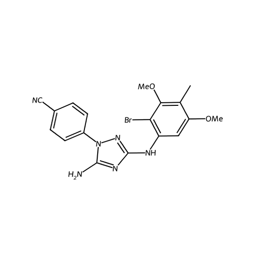 COc1cc(Nc2nc(N)n(-c3ccc(C#N)cc3)n2)c(Br)c(OC)c1C